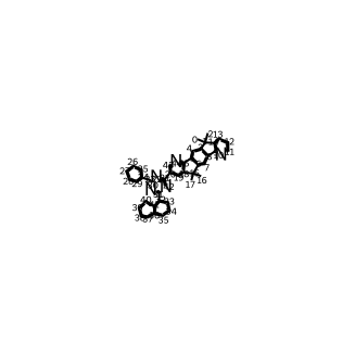 CC1(C)c2cc3c(cc2-c2ncccc21)C(C)(C)c1cc(-c2nc(-c4ccccc4)nc(-c4cccc5ccccc45)n2)cnc1-3